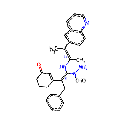 C/C(N/C(=C(/Cc1ccccc1)C1=CC(=O)CCC1)N(N)C=O)=C(/C)c1ccc2ncccc2c1